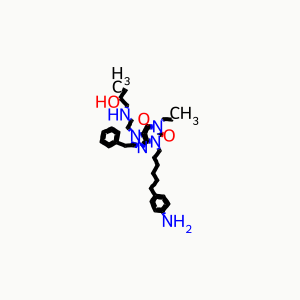 CCCn1c(=O)c2c(nc(Cc3ccccc3)n2CCNCC(O)CC)n(CCCCCCc2ccc(N)cc2)c1=O